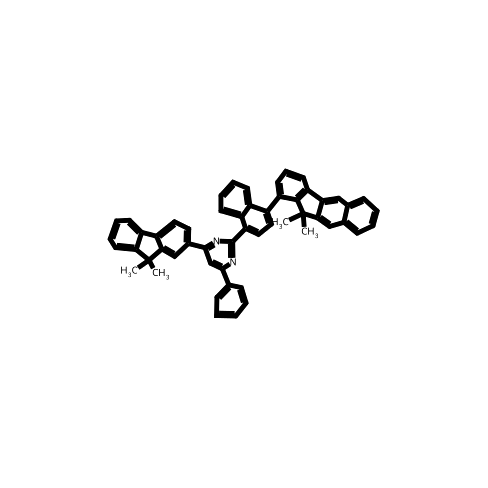 CC1(C)c2ccccc2-c2ccc(-c3cc(-c4ccccc4)nc(-c4ccc(-c5cccc6c5C(C)(C)c5cc7ccccc7cc5-6)c5ccccc45)n3)cc21